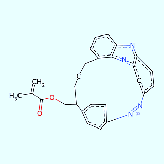 C=C(C)C(=O)OCC1CCCc2cccc3nc4ccc(cc4nc23)/N=N\c2ccc1cc2